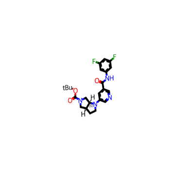 CC(C)(C)OC(=O)N1C[C@@H]2CCN(c3cncc(C(=O)Nc4cc(F)cc(F)c4)c3)[C@@H]2C1